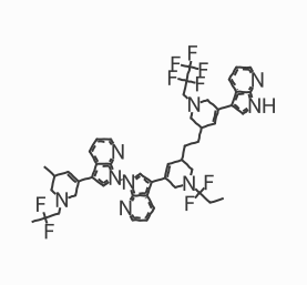 CCC(F)(F)N1CC(c2cn(-n3cc(C4=CC(C)CN(CC(C)(F)F)C4)c4cccnc43)c3ncccc23)=CC(CCC2C=C(c3c[nH]c4ncccc34)CN(CC(F)(F)C(F)(F)F)C2)C1